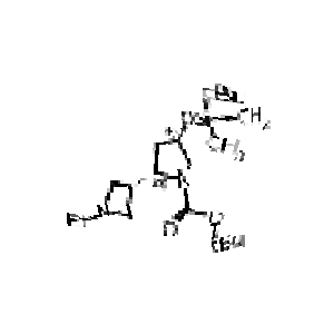 CCN1CC([C@@H]2C[C@@H](O[Si](C)(C)C(C)(C)C)CN2C(=O)OC(C)(C)C)C1